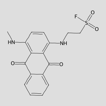 CNc1ccc(NCCS(=O)(=O)F)c2c1C(=O)c1ccccc1C2=O